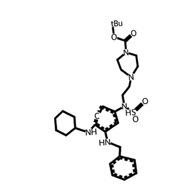 CC(C)(C)OC(=O)N1CCN(CCN(c2ccc(NC3CCCCC3)c(NCc3ccccc3)c2)[SH](=O)=O)CC1